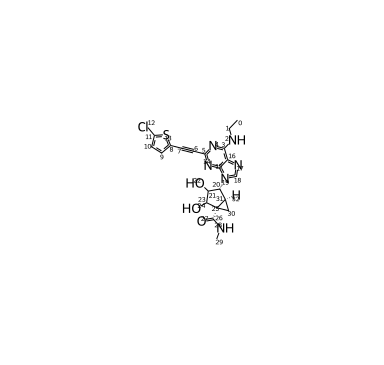 CCNc1nc(C#Cc2ccc(Cl)s2)nc2c1ncn2[C@H]1C(O)C(O)[C@]2(C(=O)NC)C[C@H]12